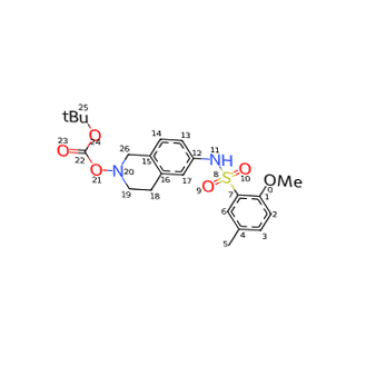 COc1ccc(C)cc1S(=O)(=O)Nc1ccc2c(c1)CCN(OC(=O)OC(C)(C)C)C2